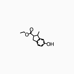 CCOC(=O)C1Cc2ccc(O)cc2C1C